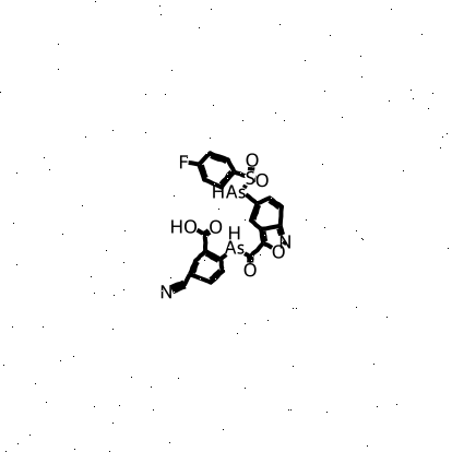 N#Cc1ccc([AsH]C(=O)c2onc3ccc([AsH]S(=O)(=O)c4ccc(F)cc4)cc23)c(C(=O)O)c1